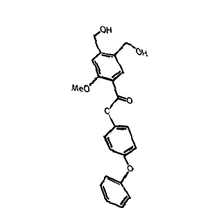 COc1cc(CO)c(CO)cc1C(=O)Oc1ccc(Oc2ccccc2)cc1